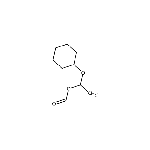 [CH2]C(OC=O)OC1CCCCC1